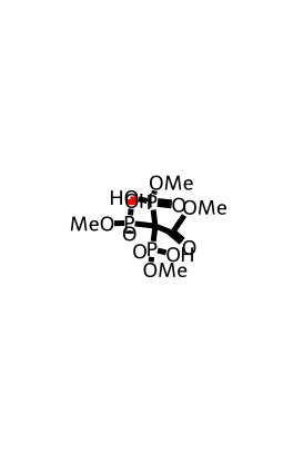 COC(=O)C(P(=O)(O)OC)(P(=O)(O)OC)P(=O)(O)OC